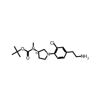 CN(C(=O)OC(C)(C)C)[C@@H]1CCN(c2ccc(CCN)cc2Cl)C1